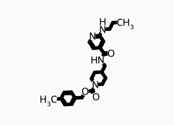 CCCNc1cc(C(=O)NCC2CCN(C(=O)OCc3ccc(C)cc3)CC2)ccn1